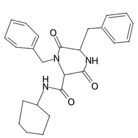 O=C(NC1CCCCC1)C1C(=O)NC(Cc2ccccc2)C(=O)N1Cc1ccccc1